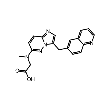 CN(CC(=O)O)c1ccc2ncc(Cc3ccc4ncccc4c3)n2n1